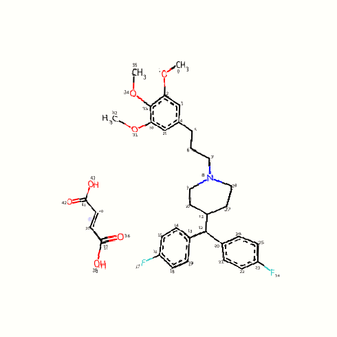 COc1cc(CCCN2CCC(C(c3ccc(F)cc3)c3ccc(F)cc3)CC2)cc(OC)c1OC.O=C(O)/C=C/C(=O)O